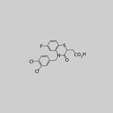 O=C(O)CC1Sc2ccc(F)cc2N(Cc2ccc(Cl)c(Cl)c2)C1=O